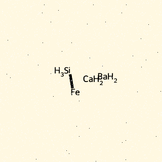 [BaH2].[CaH2].[SiH3][Fe]